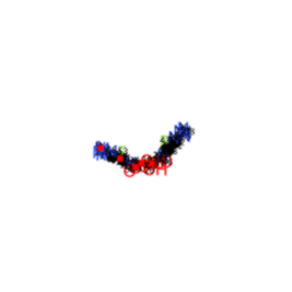 Cn1nnc(-c2ccc(-c3ccc(N4C[C@H](COP(=O)(O)OC[C@H]5CN(c6ccc(-c7ccc(-c8nnn(C)n8)nc7)c(F)c6)C(=O)O5)OC4=O)cc3F)cn2)n1